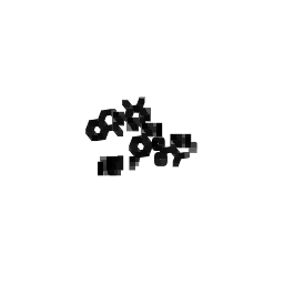 Cc1nc(Nc2ccc(F)cc2OC(=O)[C@@H](N)C(C)C)nc(N2CCc3ccccc3C2C)c1C.Cl.Cl